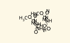 Cc1cccc(-c2cnc(NCC(C)(N)Cc3ccccc3)nc2-c2ccncc2)c1.Cc1cccc(-c2cnc(NCCC(O)c3ccccc3)nc2-c2ccncc2)c1